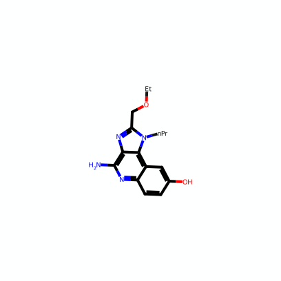 CCCn1c(COCC)nc2c(N)nc3ccc(O)cc3c21